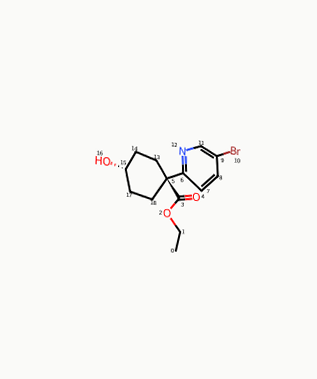 CCOC(=O)[C@]1(c2ccc(Br)cn2)CC[C@@H](O)CC1